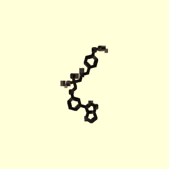 COc1ccc(CNCC(C)(O)COc2cccc(-c3noc4ccsc34)c2)cc1